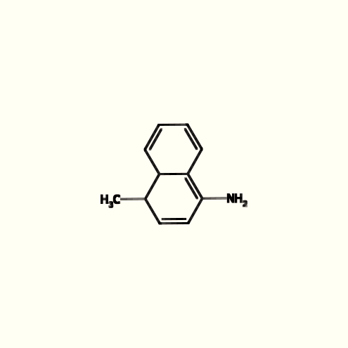 CC1C=CC(N)=C2C=CC=CC21